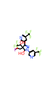 OC1N(c2cncc(C(F)(F)F)c2)N=C(c2cncc(C(F)(F)F)c2)C1(CCI)C(O)C(F)(F)F